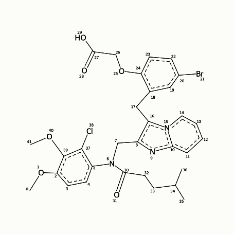 COc1ccc(N(Cc2nc3ccccn3c2Cc2cc(Br)ccc2OCC(=O)O)C(=O)CCC(C)C)c(Cl)c1OC